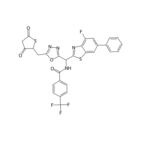 O=C1CC(=O)C(Cc2nnc(C(NC(=O)c3ccc(C(F)(F)F)cc3)c3nc4c(F)cc(-c5ccccc5)cc4s3)o2)S1